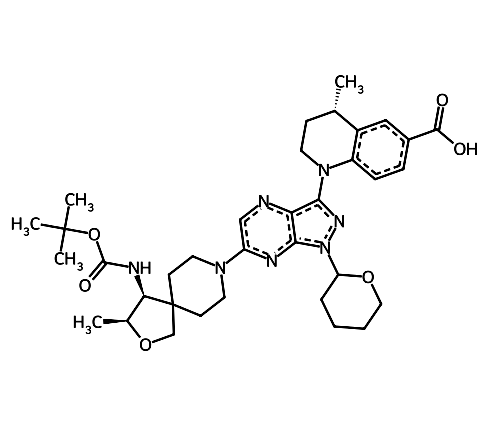 C[C@@H]1OCC2(CCN(c3cnc4c(N5CC[C@H](C)c6cc(C(=O)O)ccc65)nn(C5CCCCO5)c4n3)CC2)[C@@H]1NC(=O)OC(C)(C)C